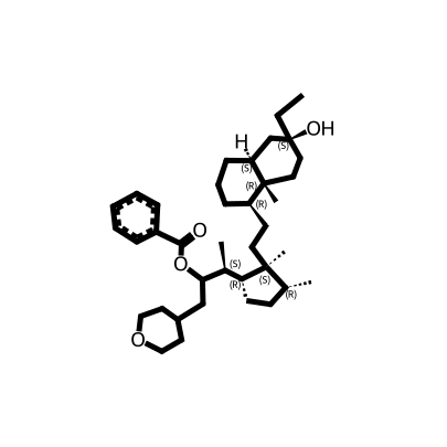 CC[C@]1(O)CC[C@]2(C)[C@@H](CC[C@@]3(C)[C@H](C)CC[C@@H]3[C@H](C)C(CC3CCOCC3)OC(=O)c3ccccc3)CCC[C@H]2C1